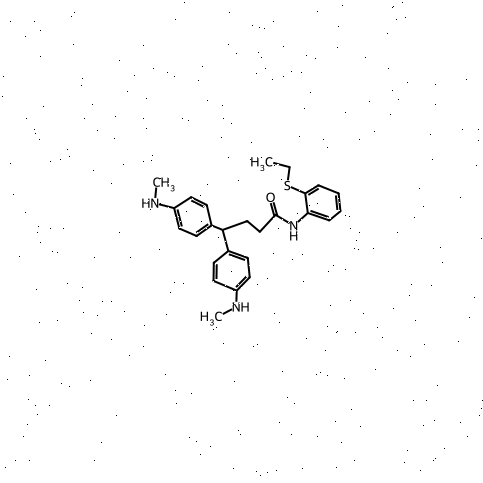 CCSc1ccccc1NC(=O)CCC(c1ccc(NC)cc1)c1ccc(NC)cc1